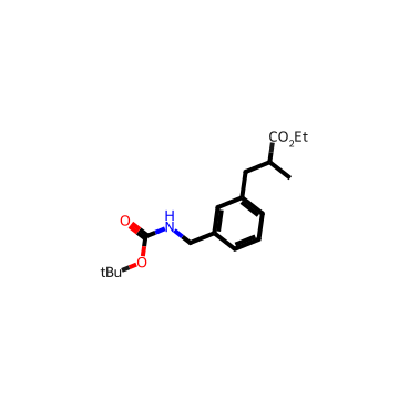 CCOC(=O)C(C)Cc1cccc(CNC(=O)OC(C)(C)C)c1